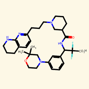 CC1(C)CN(c2cccc(C(NC(=O)C3CCCN(CCCc4ccc5c(n4)NCCC5)C3)C(F)(F)C(=O)O)c2)CCO1